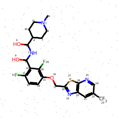 CN1CCC(C(O)NC(O)c2c(F)ccc(OCc3nc4cc(C(F)(F)F)cnc4s3)c2F)CC1